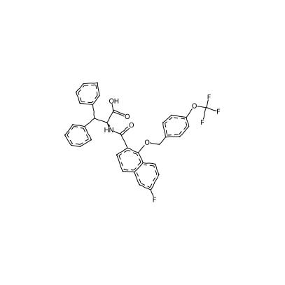 O=C(N[C@H](C(=O)O)C(c1ccccc1)c1ccccc1)c1ccc2cc(F)ccc2c1OCc1ccc(OC(F)(F)F)cc1